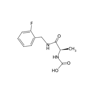 C[C@@H](NC(=O)O)C(=O)NCc1ccccc1F